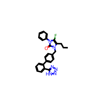 CCCc1c(F)n(-c2ccccc2)c(=O)n1Cc1ccc(-c2ccccc2-c2nnn[nH]2)cc1